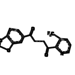 O=C(CCC(=O)c1ncccc1C(F)(F)F)c1ccc2c(c1)OCO2